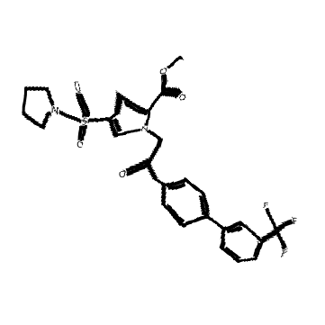 COC(=O)c1cc(S(=O)(=O)N2CCCC2)cn1CC(=O)c1ccc(-c2cccc(C(F)(F)F)c2)cc1